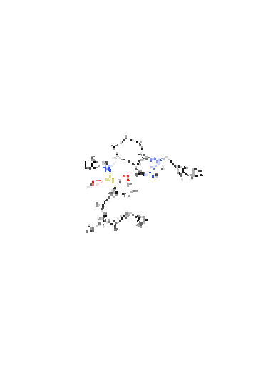 CCOC(=O)Cn1ncc2c1CCCC2N(C)S(=O)(=O)c1cc(C(C)=O)cc(C(F)(F)F)c1